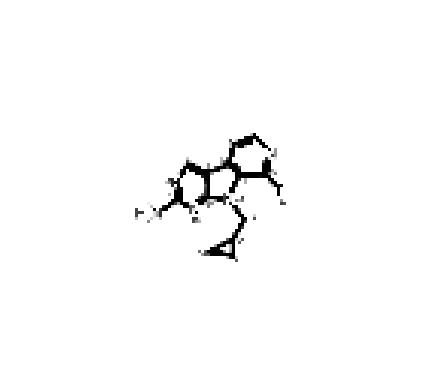 Nc1ncc2c3ccnc(F)c3n(CC3CC3)c2n1